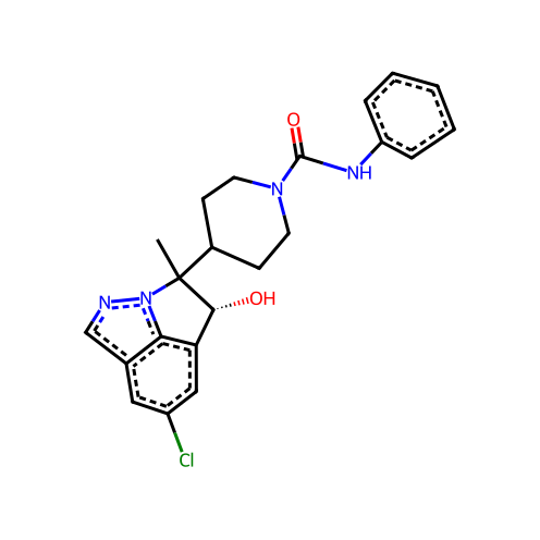 CC1(C2CCN(C(=O)Nc3ccccc3)CC2)[C@H](O)c2cc(Cl)cc3cnn1c23